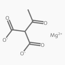 CC(=O)C(C(=O)[O-])C(=O)[O-].[Mg+2]